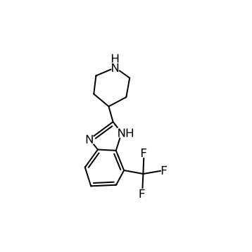 FC(F)(F)c1cccc2nc(C3CCNCC3)[nH]c12